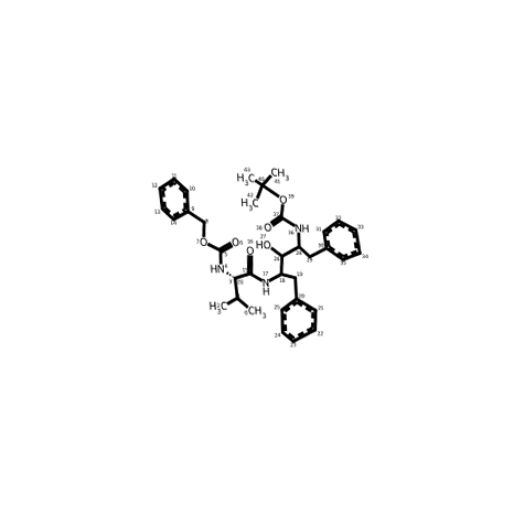 CC(C)[C@H](NC(=O)OCc1ccccc1)C(=O)NC(Cc1ccccc1)C(O)C(Cc1ccccc1)NC(=O)OC(C)(C)C